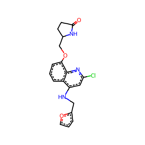 O=C1CCC(COc2cccc3c(NCc4ccco4)cc(Cl)nc23)N1